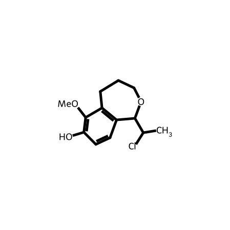 COc1c(O)ccc2c1CCCOC2C(C)Cl